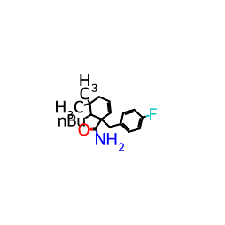 CCCCC1C(C)(C)CC=CC1(Cc1ccc(F)cc1)C(N)=O